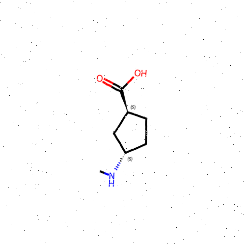 CN[C@H]1CC[C@H](C(=O)O)C1